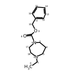 CCN1CCCN(C(=O)OCc2ccccc2)CC1